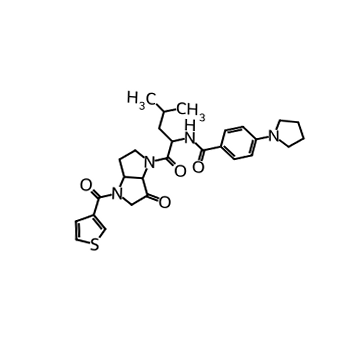 CC(C)CC(NC(=O)c1ccc(N2CCCC2)cc1)C(=O)N1CCC2C1C(=O)CN2C(=O)c1ccsc1